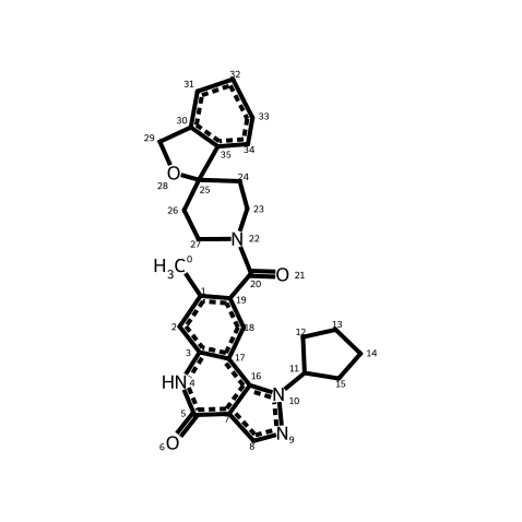 Cc1cc2[nH]c(=O)c3cnn(C4CCCC4)c3c2cc1C(=O)N1CCC2(CC1)OCc1ccccc12